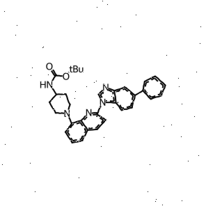 CC(C)(C)OC(=O)NC1CCN(c2cccc3ccc(-n4cnc5cc(-c6ccccc6)ccc54)nc23)CC1